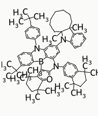 CC(C)(C)c1ccc(N2c3ccc(C(C)(C)C)cc3B3c4c2cc(N2c5ccccc5C5(C)CCCCCCCC25C)cc4N(c2ccc4c(c2)C(C)(C)CCC4(C)C)c2oc4c(c23)C(C)(C)CCC4(C)C)cc1